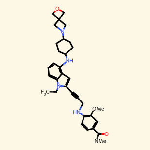 CNC(=O)c1ccc(NCC#Cc2cc3c(NC4CCC(N5CC6(COC6)C5)CC4)cccc3n2CC(F)(F)F)c(OC)c1